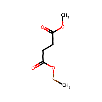 COC(=O)CCC(=O)OSC